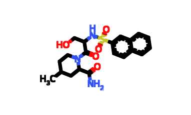 CC1CCN(C(=O)C(CO)NS(=O)(=O)c2ccc3ccccc3c2)C(C(N)=O)C1